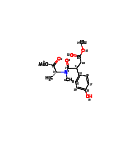 COC(=O)[C@@H](C)N(C)C(=O)C(CC(=O)OC(C)(C)C)c1ccc(O)cc1